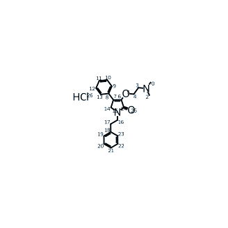 CN(C)CCOC1=C(c2ccccc2)CN(CCc2ccccc2)C1=O.Cl